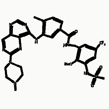 COc1c(NC(=O)c2ccc(C)c(Nc3ncnc4cnc(N5CCN(C)CC5)nc34)c2)cc(C(F)(F)F)cc1NS(C)(=O)=O